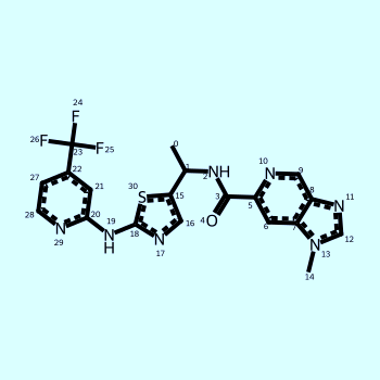 CC(NC(=O)c1cc2c(cn1)ncn2C)c1cnc(Nc2cc(C(F)(F)F)ccn2)s1